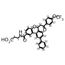 O=C(O)CCNC(=O)c1ccc(OC(CC(=O)c2ccc(OC(F)(F)F)cc2)c2ccc(-c3ccccc3)cc2)cc1